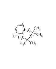 C[C](C)(C)[Al+][C](C)(C)C.[Cl-].c1ccncc1